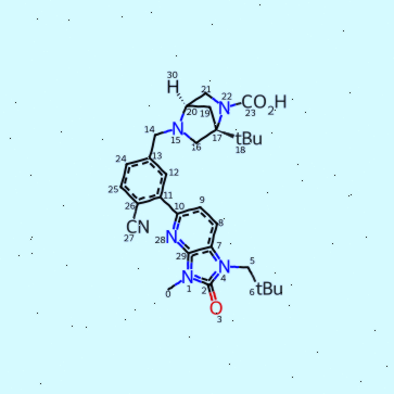 Cn1c(=O)n(CC(C)(C)C)c2ccc(-c3cc(CN4C[C@]5(C(C)(C)C)C[C@@H]4CN5C(=O)O)ccc3C#N)nc21